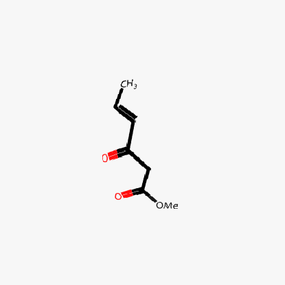 CC=CC(=O)CC(=O)OC